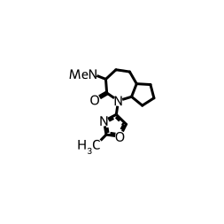 CNC1CCC2CCCC2N(c2coc(C)n2)C1=O